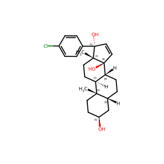 C[C@]12CC[C@H](O)C[C@H]1CC[C@@H]1[C@@H]2CC[C@]2(C)[C@@](O)(c3ccc(Cl)cc3)C=C[C@]12O